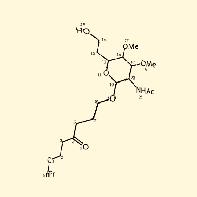 CCCOCCC(=O)CCCOC1OC(CCO)C(OC)C(OC)C1NC(C)=O